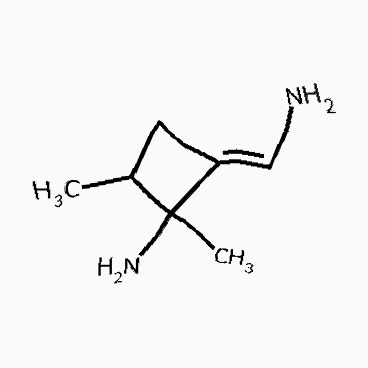 CC1C/C(=C\N)C1(C)N